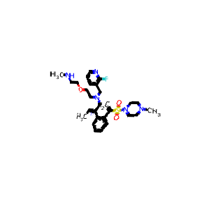 C=C(c1ccccc1/C(=C\C)CN(CCOCCNC)Cc1cccnc1F)S(=O)(=O)N1CCN(C)CC1